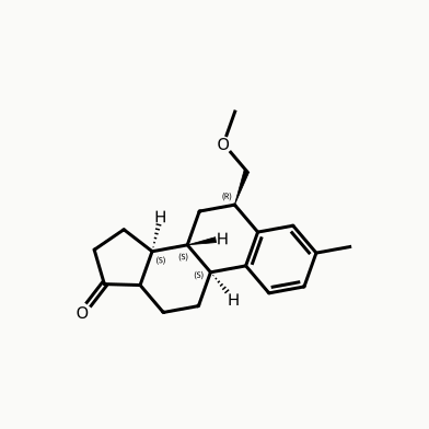 COC[C@@H]1C[C@@H]2[C@H](CCC3C(=O)CC[C@H]32)c2ccc(C)cc21